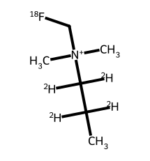 [2H]C([2H])(C)C([2H])([2H])[N+](C)(C)C[18F]